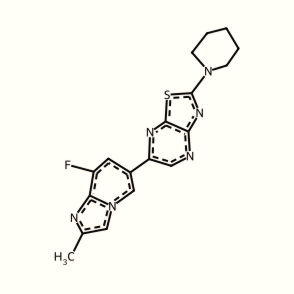 Cc1cn2cc(-c3cnc4nc(N5CCCCC5)sc4n3)cc(F)c2n1